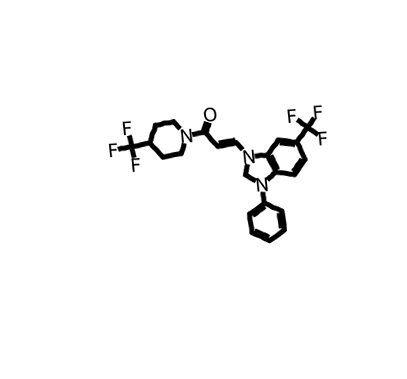 O=C(C=CN1CN(c2ccccc2)c2ccc(C(F)(F)F)cc21)N1CCC(C(F)(F)F)CC1